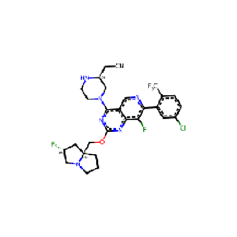 N#CC[C@H]1CN(c2nc(OC[C@@]34CCCN3C[C@H](F)C4)nc3c(F)c(-c4cc(Cl)ccc4C(F)(F)F)ncc23)CCN1